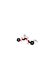 C=C(CC(=O)OC1CCCC1)C(=O)OCC(=O)c1cccc(C)c1